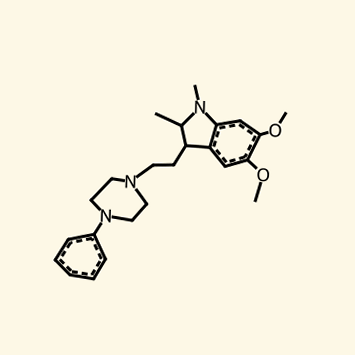 COc1cc2c(cc1OC)N(C)C(C)C2CCN1CCN(c2ccccc2)CC1